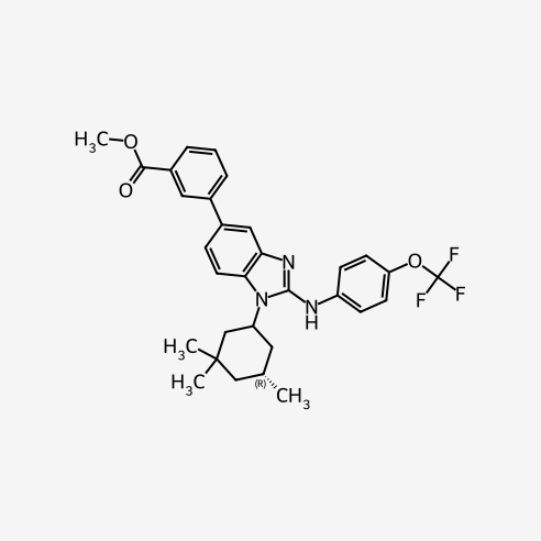 COC(=O)c1cccc(-c2ccc3c(c2)nc(Nc2ccc(OC(F)(F)F)cc2)n3C2C[C@H](C)CC(C)(C)C2)c1